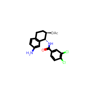 CC(=O)O[C@@H]1CCc2ccc(N)cc2[C@H]1NC(=O)c1ccc(Cl)c(Cl)c1